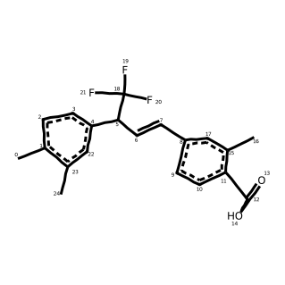 Cc1ccc(C(/C=C/c2ccc(C(=O)O)c(C)c2)C(F)(F)F)cc1C